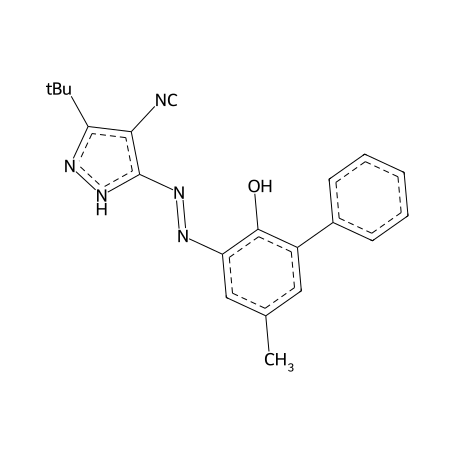 [C-]#[N+]c1c(C(C)(C)C)n[nH]c1/N=N/c1cc(C)cc(-c2ccccc2)c1O